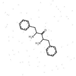 NC(Cc1ccccc1)C(=O)C(N)Cc1ccccc1